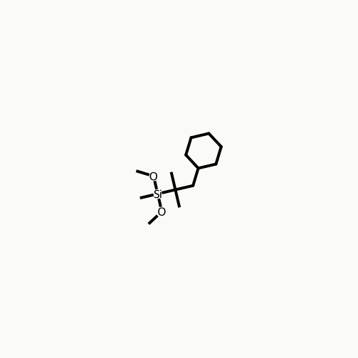 CO[Si](C)(OC)C(C)(C)CC1CCCCC1